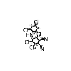 N#Cc1c(Cl)c(Cl)c(Nc2ccc(Cl)cc2Cl)c(Cl)c1C#N